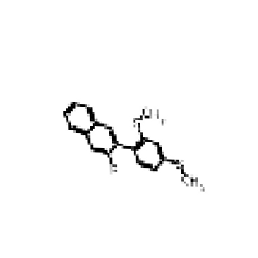 CSc1ccc(-c2cc3ccccc3cc2F)c(SC)c1